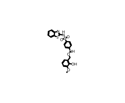 COc1cccc(CONc2ccc(S(=O)(=O)Nc3nc4ccccc4s3)cc2)c1O